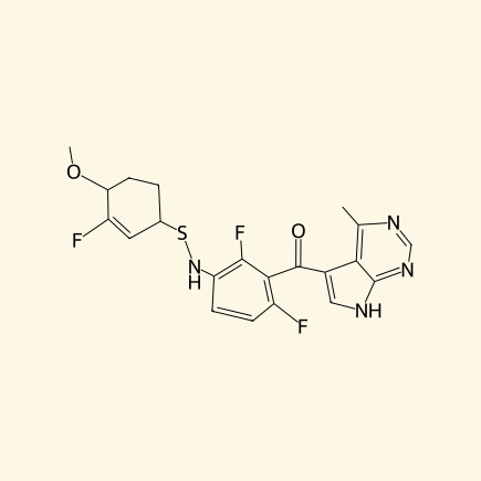 COC1CCC(SNc2ccc(F)c(C(=O)c3c[nH]c4ncnc(C)c34)c2F)C=C1F